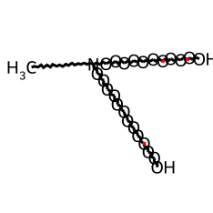 CCCCCCCCCCCCCCCCCCCCN(CCCOCCOCCOCCOCCOCCOCCOCCOCCOCCOCCO)CCOCCOCCOCCOCCOCCOCCOCCOCCOCCOCCOCCOCCO